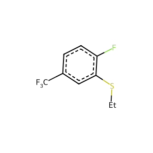 CCSc1cc(C(F)(F)F)ccc1F